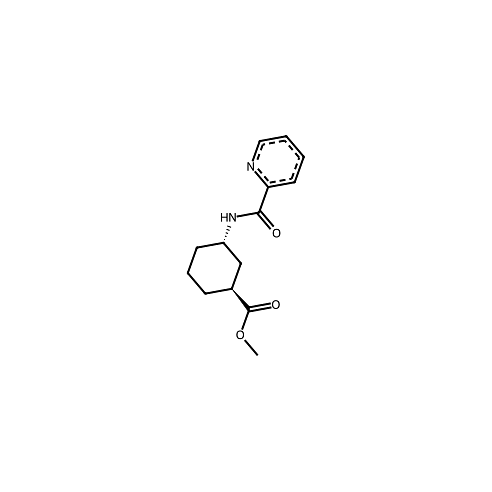 COC(=O)[C@H]1CCC[C@H](NC(=O)c2ccccn2)C1